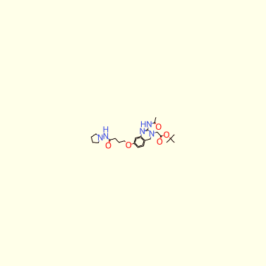 CC(=O)NC1=Nc2cc(OCCCC(=O)NN3CCCC3)ccc2CN1CC(=O)OC(C)(C)C